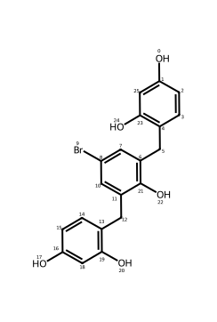 Oc1ccc(Cc2cc(Br)cc(Cc3ccc(O)cc3O)c2O)c(O)c1